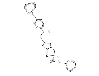 O=C(CN1CC2CC(O)(CCc3ccccc3)CC2C1)c1ccc(-c2ccccc2)cc1